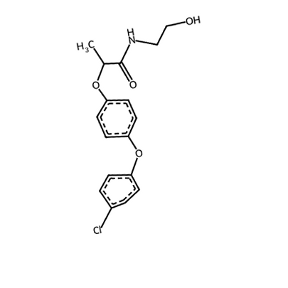 CC(Oc1ccc(Oc2ccc(Cl)cc2)cc1)C(=O)NCCO